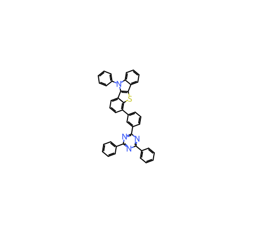 c1ccc(-c2nc(-c3ccccc3)nc(-c3cccc(-c4cccc5c4sc4c6ccccc6n(-c6ccccc6)c54)c3)n2)cc1